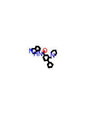 O=C(Nc1cccc2cnccc12)c1ccc(-c2ccccc2)c(CN2CCCCC2)c1